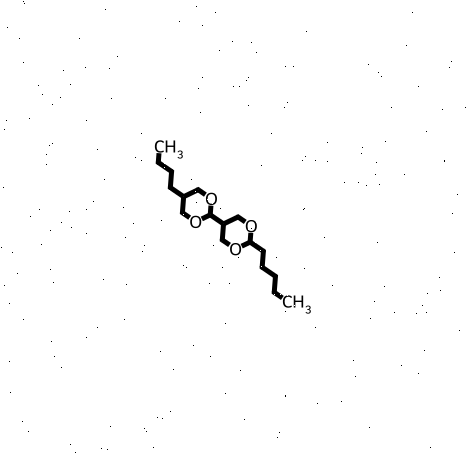 CCCCCC1OCC(C2OCC(CCCC)CO2)CO1